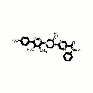 Cc1c(-c2ccc(C(F)(F)F)cc2)nnc(N2CCN(c3cnc(C(=O)N(c4ccccc4)C(C)C)cn3)[C@H](C)C2)c1C